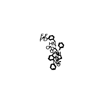 CS(=O)(=O)N(c1ccccc1)c1cccc(C(=O)N[C@@H](Cc2ccccc2)[C@@H](CNCc2cccc(OC(F)(F)F)c2)OC=O)c1N1CCCC1=O